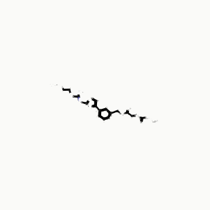 COCCN/C(N)=N/c1nc(-c2cccc(CNC(=O)CNC(=O)OC(C)(C)C)c2)cs1